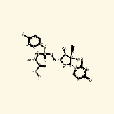 C#C[C@@]1(O)[C@H](O)[C@@H](COP(=S)(N[C@@H](C)C(=O)OC(C)C)Oc2ccc(F)cc2)O[C@H]1n1ccc(=O)[nH]c1=O